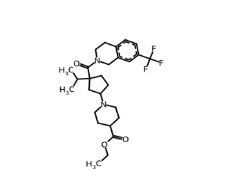 CCOC(=O)C1CCN(C2CCC(C(=O)N3CCc4ccc(C(F)(F)F)cc4C3)(C(C)C)C2)CC1